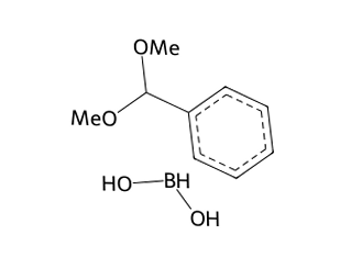 COC(OC)c1ccccc1.OBO